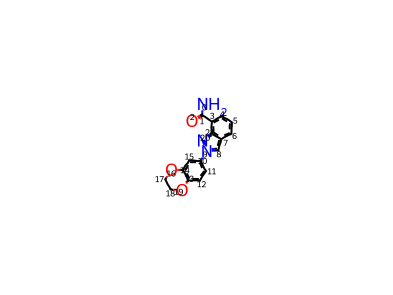 NC(=O)c1cccc2cn(-c3ccc4c(c3)OCCO4)nc12